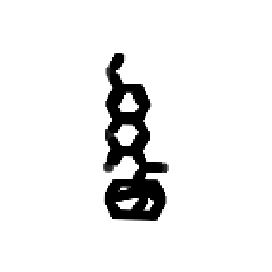 COc1ccc2cc(C(=O)C34CC5CC(CC(C5)C3)C4)c(=O)oc2c1